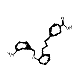 Nc1cccc(COc2ccccc2CCCc2ccc(C(=O)O)cc2)c1